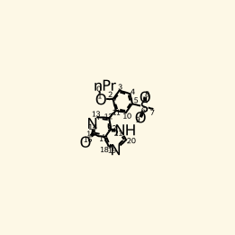 CCCOc1ccc(S(C)(=O)=O)cc1-c1cnc(=O)c2cnc[nH]c1-2